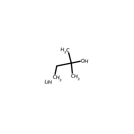 CCC(C)(C)O.[LiH]